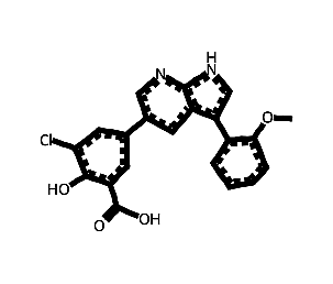 COc1ccccc1-c1c[nH]c2ncc(-c3cc(Cl)c(O)c(C(=O)O)c3)cc12